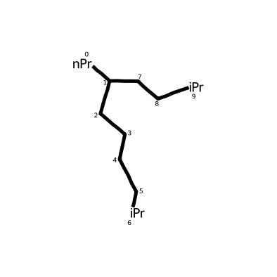 CCCC(CCCCC(C)C)CCC(C)C